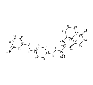 O=C(CCC1CCN(CCc2cccc(F)c2)CC1)c1cc2c3c(c1)CCC(=O)N3CCC2